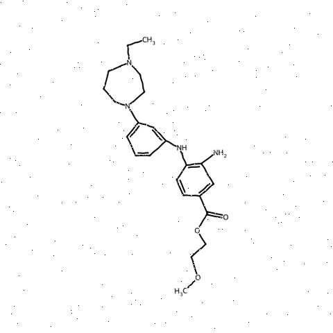 CCN1CCCN(c2cccc(Nc3ccc(C(=O)OCCOC)cc3N)c2)CC1